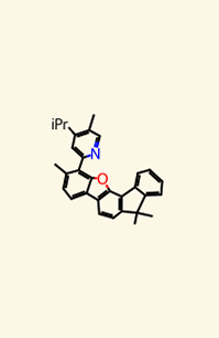 Cc1cnc(-c2c(C)ccc3c2oc2c4c(ccc23)C(C)(C)c2ccccc2-4)cc1C(C)C